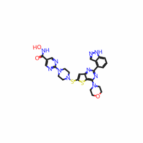 O=C(NO)c1cnc(N2CCN(Sc3cc4nc(-c5cccc6[nH]ncc56)nc(N5CCOCC5)c4s3)CC2)nc1